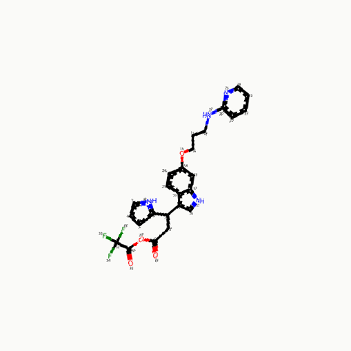 O=C(CC(c1ccc[nH]1)c1c[nH]c2cc(OCCCNc3ccccn3)ccc12)OC(=O)C(F)(F)F